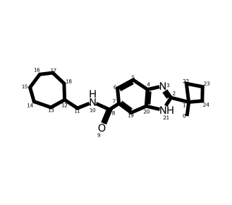 CC1(c2nc3ccc(C(=O)NCC4CCCCCC4)cc3[nH]2)CCC1